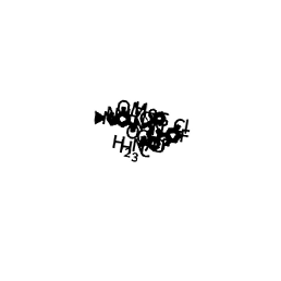 COc1cc(C(=O)NC[C@@](O)(c2ccsc2)c2cc3c(c(-c4cc(Cl)c(F)cc4F)n2)OC[C@]3(C)C(N)=O)cc2cn(C3CC3)nc12